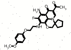 COc1ccc(OCCNc2c(F)c(N)c3c(=O)c(C(C)=O)cn4c3c2OCC42CCCC2)cc1